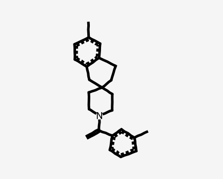 C=C(c1cccc(C)c1)N1CCC2(CCc3cc(C)ccc3C2)CC1